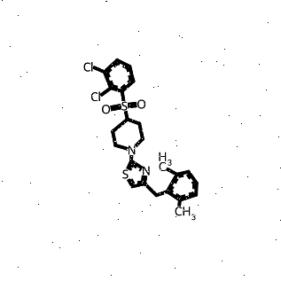 Cc1cccc(C)c1Cc1csc(N2CCC(S(=O)(=O)c3cccc(Cl)c3Cl)CC2)n1